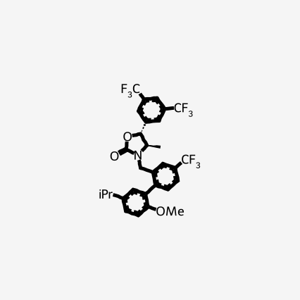 COc1ccc(C(C)C)cc1-c1ccc(C(F)(F)F)cc1CN1C(=O)O[C@H](c2cc(C(F)(F)F)cc(C(F)(F)F)c2)[C@H]1C